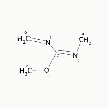 C=N/C(=N\C)OC